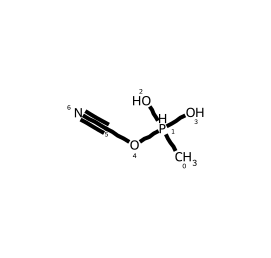 C[PH](O)(O)OC#N